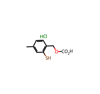 Cc1ccc(COC(=O)O)c(S)c1.Cl